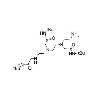 CC(C)(C)NC(=O)CNCCN(CCN(CCN)CC(=O)NC(C)(C)C)CC(=O)NC(C)(C)C